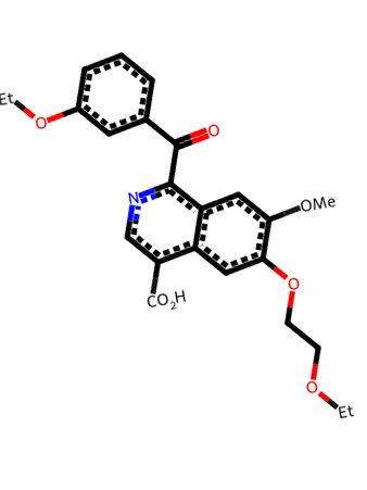 CCOCCOc1cc2c(C(=O)O)cnc(C(=O)c3cccc(OCC)c3)c2cc1OC